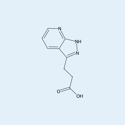 O=C(O)CCc1n[nH]c2ncccc12